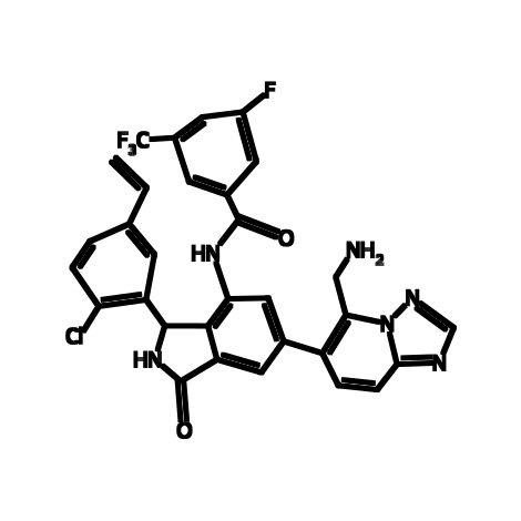 C=Cc1ccc(Cl)c(C2NC(=O)c3cc(-c4ccc5ncnn5c4CN)cc(NC(=O)c4cc(F)cc(C(F)(F)F)c4)c32)c1